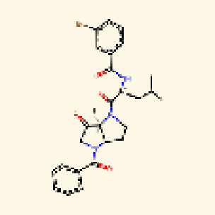 CC(C)C[C@H](NC(=O)c1cccc(Br)c1)C(=O)N1CCC2[C@H]1C(=O)CN2C(=O)c1ccccc1